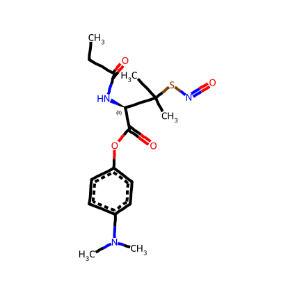 CCC(=O)N[C@H](C(=O)Oc1ccc(N(C)C)cc1)C(C)(C)SN=O